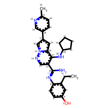 CCc1cc(O)ccc1/N=C(\N)c1cnn2cc(-c3ccc(C)nc3)cc2c1NC1CCCC1